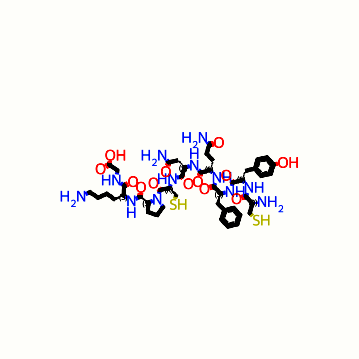 NCCCC[C@H](NC(=O)[C@@H]1CCCN1C(=O)[C@H](CS)NC(=O)[C@H](CC(N)=O)NC(=O)[C@H](CCC(N)=O)NC(=O)[C@H](Cc1ccccc1)NC(=O)[C@H](Cc1ccc(O)cc1)NC(=O)[C@@H](N)CS)C(=O)NCC(=O)O